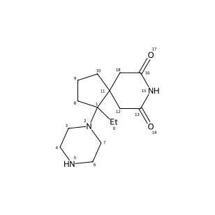 CCC1(N2CCNCC2)CCCC12CC(=O)NC(=O)C2